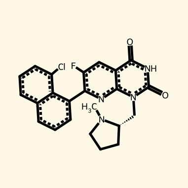 CN1CCC[C@H]1Cn1c(=O)[nH]c(=O)c2cc(F)c(-c3cccc4cccc(Cl)c34)nc21